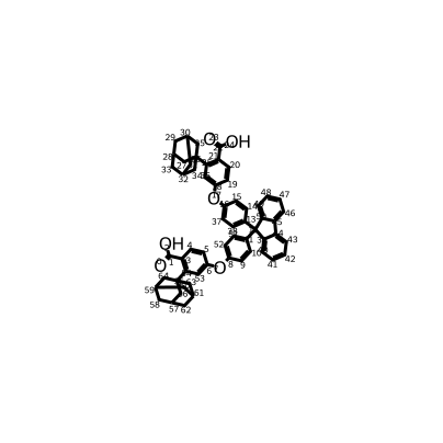 O=C(O)c1ccc(Oc2ccc(C3(c4ccc(Oc5ccc(C(=O)O)c(C67CC8CC(CC(C8)C6)C7)c5)cc4)c4ccccc4-c4ccccc43)cc2)cc1C12CC3CC(CC(C3)C1)C2